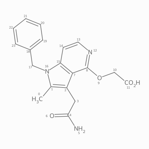 Cc1c(CC(N)=O)c2c(OCC(=O)O)nccc2n1Cc1ccccc1